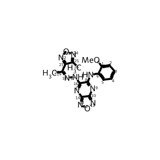 COc1ccccc1Nc1nc2nonc2nc1NN=C(C)c1nonc1C